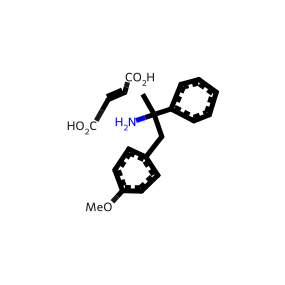 COc1ccc(CC(C)(N)c2ccccc2)cc1.O=C(O)C=CC(=O)O